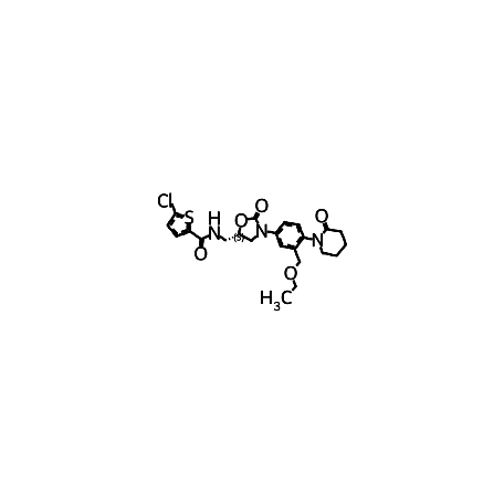 CCOCc1cc(N2C[C@H](CNC(=O)c3ccc(Cl)s3)OC2=O)ccc1N1CCCCC1=O